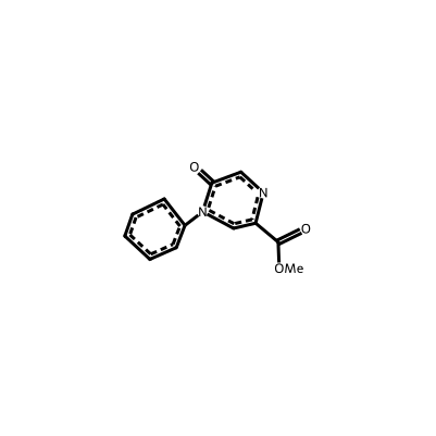 COC(=O)c1cn(-c2ccccc2)c(=O)cn1